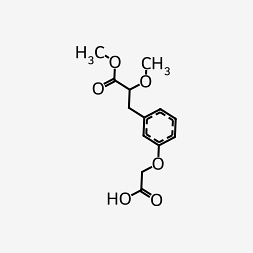 COC(=O)C(Cc1cccc(OCC(=O)O)c1)OC